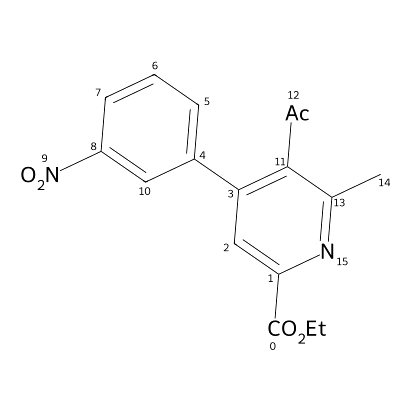 CCOC(=O)c1cc(-c2cccc([N+](=O)[O-])c2)c(C(C)=O)c(C)n1